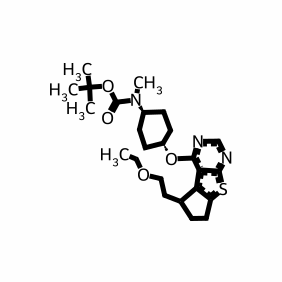 CCOCCC1CCc2sc3ncnc(O[C@H]4CC[C@H](N(C)C(=O)OC(C)(C)C)CC4)c3c21